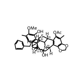 COc1c(C)cc2c(c1O)[C@@H]1C3[C@@H]4SCC(NCc5ccccc5)C(=O)OC[C@@H](c5c6c(c(C)c(OC(C)=O)c54)OCO6)N3[C@@H](O)[C@H](C2)N1C